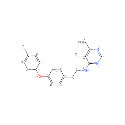 CCCCCCc1ncnc(NCCc2ccc(Oc3ccc(Cl)cc3)cc2)c1Cl